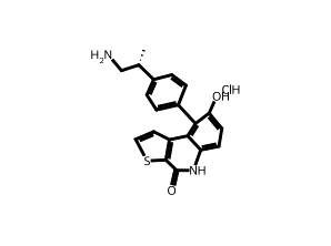 C[C@@H](CN)c1ccc(-c2c(O)ccc3[nH]c(=O)c4sccc4c23)cc1.Cl